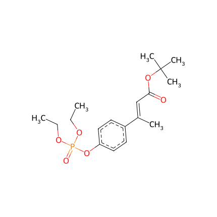 CCOP(=O)(OCC)Oc1ccc(C(C)=CC(=O)OC(C)(C)C)cc1